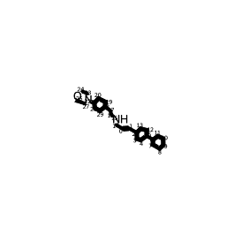 C(#Cc1ccc(-c2ccccc2)cc1)CNCCc1ccc(N2CCOCC2)cc1